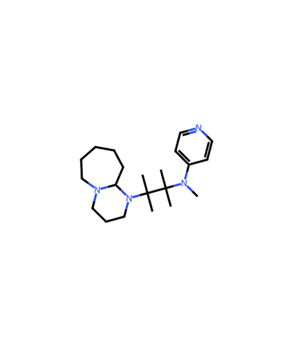 CN(c1ccncc1)C(C)(C)C(C)(C)N1CCCN2CCCCCC21